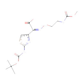 COC(=O)NCCO/N=C(\C(=O)O)c1csc(NC(=O)OC(C)(C)C)n1